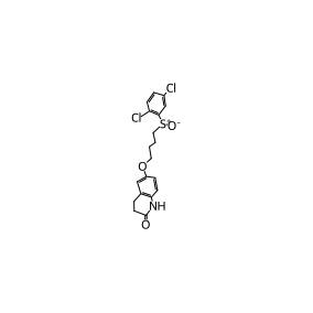 O=C1CCc2cc(OCCCC[S+]([O-])c3cc(Cl)ccc3Cl)ccc2N1